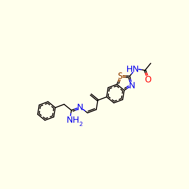 C=C(/C=C\N=C(/N)Cc1ccccc1)c1ccc2nc(NC(C)=O)sc2c1